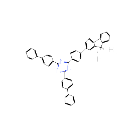 CC1(C)c2ccccc2-c2ccc(-c3ccc(-c4nc(-c5ccc(-c6ccccc6)cc5)nc(-c5ccc(-c6ccccc6)cc5)n4)cc3)cc21